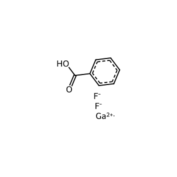 O=C(O)c1ccccc1.[F-].[F-].[Ga+2]